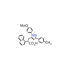 COc1ccc(-n2nc(-c3ccc(C)cc3)cc2CC(C(=O)O)c2cccc3ccccc23)cc1